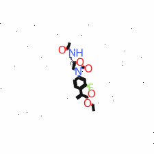 C=C(C(=O)OCC)c1ccc(N2C[C@H](CNC(C)=O)OC2=O)cc1F